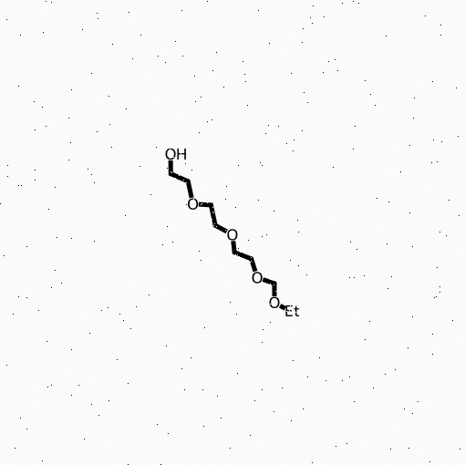 CCOCOCCOCCOCCO